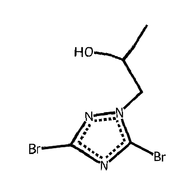 CC(O)Cn1nc(Br)nc1Br